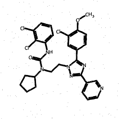 COc1ccc(-c2nc(-c3cccnc3)nn2CCN(C(=O)Nc2cccc(Cl)c2Cl)C2CCCC2)cc1Cl